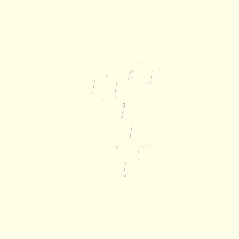 CC1CCC(c2ccc3scnc3c2)N(C(=O)C(=O)Nc2cnc(N)n3cnnc23)C1